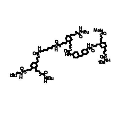 CNC(=O)SCCC1CCC(CCSC(=O)NC(C)(C)C)CC1CCSC(=O)NC1CCC(CC2CCC(NC(=O)SCCC3CC(CCSC(=O)NC(C)(C)C)CCC3CCSC(=O)NCCCCCCNC(=O)SCCC3CCC(CCSC(=O)NCC(C)(C)C)C(CCSC(=O)NC(C)(C)C)C3)CC2)CC1